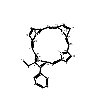 ICc1c(-c2ccccc2)c2cc3nc(cc4ccc(cc5nc(cc1[nH]2)C=C5)[nH]4)C=C3